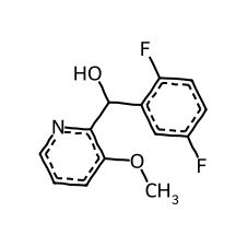 COc1cccnc1C(O)c1cc(F)ccc1F